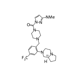 CNc1ccn(C(=O)N2CCN(Cc3ccc(C(F)(F)F)cc3N3CCN4CCC[C@H]4C3)CC2)n1